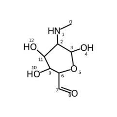 CNC1C(O)OC(C=O)C(O)C1O